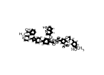 CC(C)c1ccccc1[C@@H]1COCCN1C1CC2(CCN(c3ccc(C(=O)NS(=O)(=O)c4cc5c(c([N+](=O)[O-])c4)O[C@@H](CC4CCC(C)(O)CC4)CO5)c(Oc4cnc5[nH]ccc5c4)c3)CC2)C1